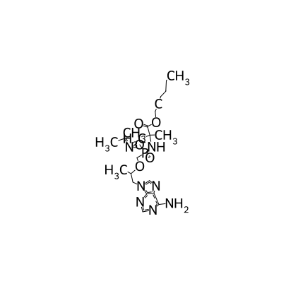 CCCCCCOC(=O)C(C)(C)NP(=O)(COC(C)Cn1cnc2c(N)ncnc21)ON=C(C)C